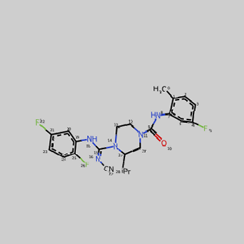 Cc1ccc(F)cc1NC(=O)N1CCN(/C(=N\C#N)Nc2cc(F)ccc2F)C(C(C)C)C1